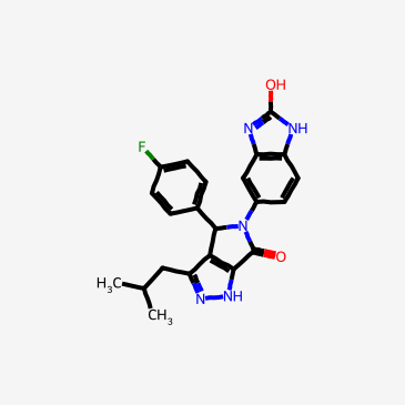 CC(C)Cc1n[nH]c2c1C(c1ccc(F)cc1)N(c1ccc3[nH]c(O)nc3c1)C2=O